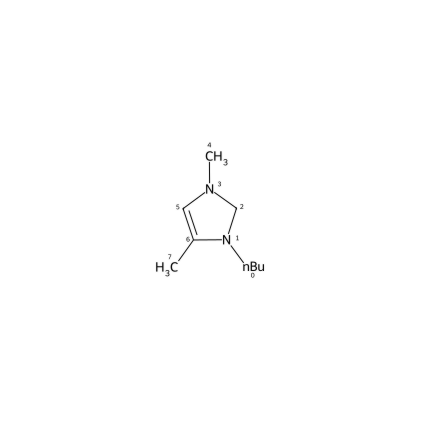 CCCCN1CN(C)C=C1C